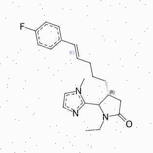 CCN1C(=O)C[C@@H](CCC/C=C/c2ccc(F)cc2)C1c1nccn1C